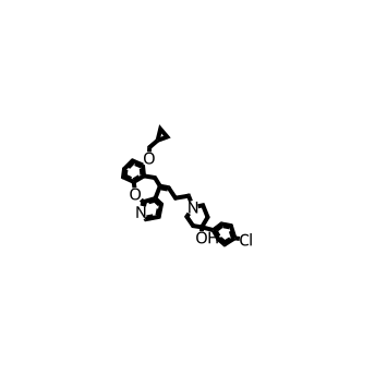 OC1(c2ccc(Cl)cc2)CCN(CC/C=C2/Cc3c(OCC4CC4)cccc3Oc3ncccc32)CC1